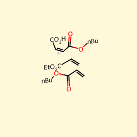 C=CC(=O)OCC.C=CC(=O)OCCCC.CCCCOC(=O)/C=C\C(=O)O